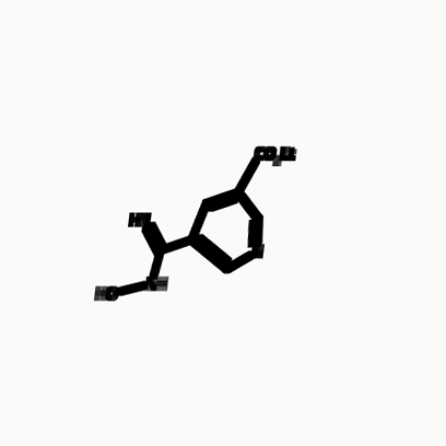 CCOC(=O)c1cncc(C(=N)NO)c1